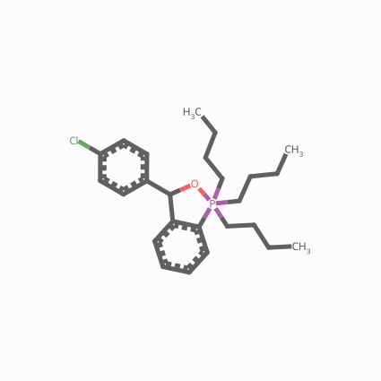 CCCCP1(CCCC)(CCCC)OC(c2ccc(Cl)cc2)c2ccccc21